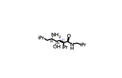 CC(C)CNC(=O)/C(=C/[C@H](O)[C@@H](N)CC(C)C)C(C)C